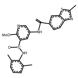 C=C(Nc1cnc(OC)c([S+]([O-])Nc2c(C)cccc2C)c1)c1ccc2nc(C)sc2c1